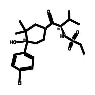 CCS(=O)(=O)N[C@@H](C(=O)N1CC[C@](O)(c2ccc(Cl)cc2)C(C)(C)C1)C(C)C